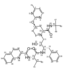 Cc1ccnc(O[C@@H]2CCN(C[C@@H](O)[C@H](Cc3ccccc3)NC(=O)[C@@H](NC(=O)c3ccc4ccccc4n3)C(C)C)[C@H](C(=O)NC(C)(C)C)C2)n1